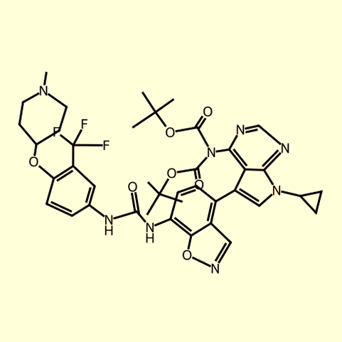 CN1CCC(Oc2ccc(NC(=O)Nc3ccc(-c4cn(C5CC5)c5ncnc(N(C(=O)OC(C)(C)C)C(=O)OC(C)(C)C)c45)c4cnoc34)cc2C(F)(F)F)CC1